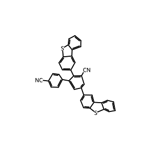 N#Cc1ccc(-c2cc(-c3ccc4sc5ccccc5c4c3)cc(C#N)c2-c2ccc3sc4ccccc4c3c2)cc1